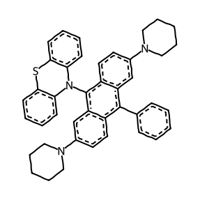 c1ccc(-c2c3cc(N4CCCCC4)ccc3c(N3c4ccccc4Sc4ccccc43)c3cc(N4CCCCC4)ccc23)cc1